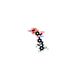 O=C(NC(CO)c1ccc([S+]([O-])C(O)(O)C(O)(O)O)cc1)c1ccc2c(c1)cc(Cc1ccc(Cl)cc1C(F)(F)F)n2CCF